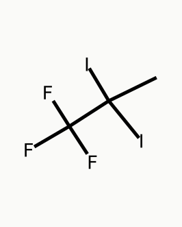 CC(I)(I)C(F)(F)F